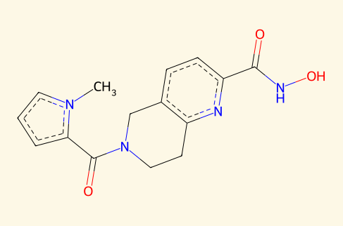 Cn1cccc1C(=O)N1CCc2nc(C(=O)NO)ccc2C1